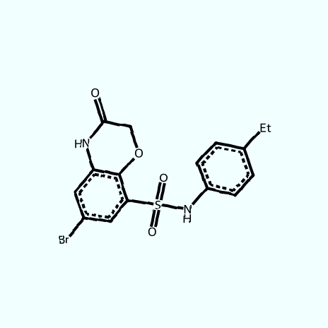 CCc1ccc(NS(=O)(=O)c2cc(Br)cc3c2OCC(=O)N3)cc1